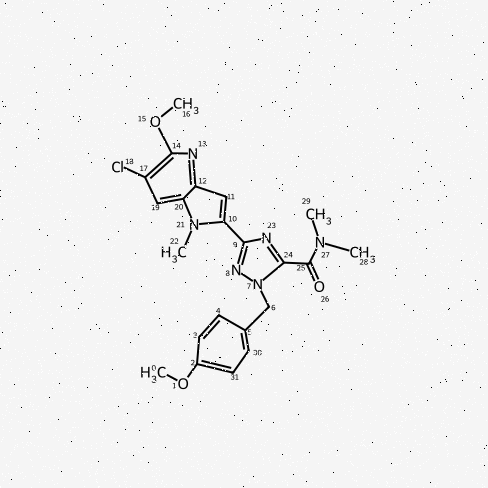 COc1ccc(Cn2nc(-c3cc4nc(OC)c(Cl)cc4n3C)nc2C(=O)N(C)C)cc1